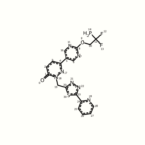 O=c1ccc(-c2cnc(OCC(F)(F)P)nc2)nn1Cc1nnc(-c2ccccn2)s1